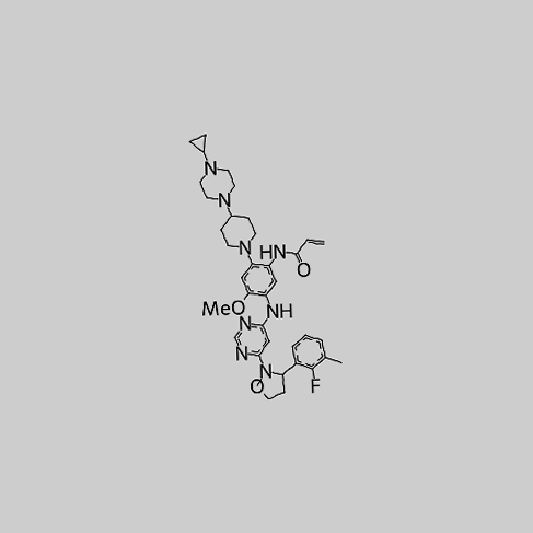 C=CC(=O)Nc1cc(Nc2cc(N3OCCC3c3cccc(C)c3F)ncn2)c(OC)cc1N1CCC(N2CCN(C3CC3)CC2)CC1